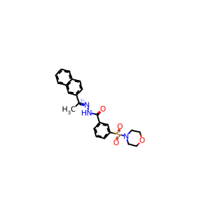 C/C(=N\NC(=O)c1cccc(S(=O)(=O)N2CCOCC2)c1)c1ccc2ccccc2c1